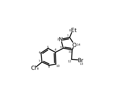 CCc1nc(-c2ccc(Cl)cc2)c(CBr)o1